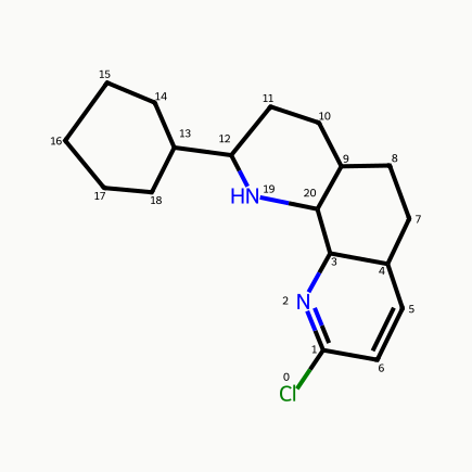 ClC1=NC2C(C=C1)CCC1CCC(C3CCCCC3)NC12